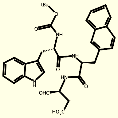 CC(C)(C)OC(=O)N[C@@H](Cc1c[nH]c2ccccc12)C(=O)N[C@@H](Cc1ccc2ccccc2c1)C(=O)N[C@@H]([CH]C(=O)O)C=O